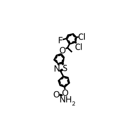 CC(Oc1ccc2nc(-c3ccc(OC(N)=O)cc3)sc2c1)c1c(F)ccc(Cl)c1Cl